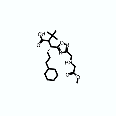 COC(=O)CNCc1noc([C@H](CCCC2CCCCC2)C(C(=O)O)C(C)(C)C)n1